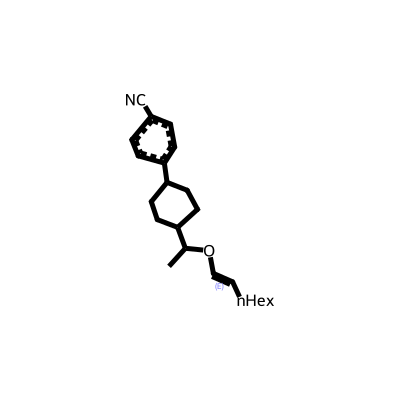 CCCCCC/C=C/OC(C)C1CCC(c2ccc(C#N)cc2)CC1